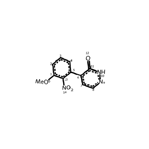 COc1cccc(-c2ccn[nH]c2=O)c1[N+](=O)[O-]